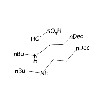 CCCCCCCCCCCCNCCCC.CCCCCCCCCCCCNCCCC.O=S(=O)(O)O